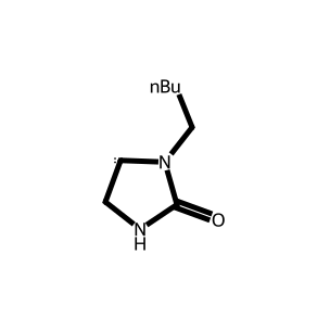 CCCCCN1[C]CNC1=O